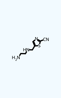 N#Cc1ncc(CNCCN)s1